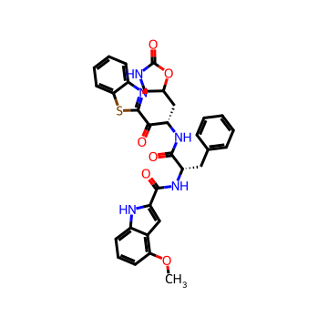 COc1cccc2[nH]c(C(=O)N[C@@H](Cc3ccccc3)C(=O)N[C@@H](CC3CNC(=O)O3)C(=O)c3nc4ccccc4s3)cc12